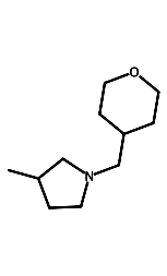 CC1CCN(CC2CCOCC2)C1